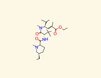 CCOC(=O)/C(C)=C/[C@H](C(C)C)N(C)C(=O)[C@@H](NC(=O)C1CC[C@@H](CC)CN1C)C(C)(C)C